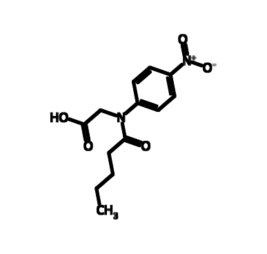 CCCCC(=O)N(CC(=O)O)c1ccc([N+](=O)[O-])cc1